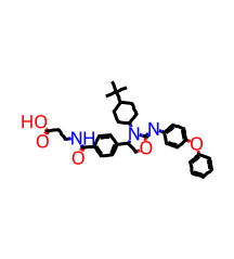 CC(C)(C)C1CCC(N2C(=Nc3ccc(Oc4ccccc4)cc3)OCC2c2ccc(C(=O)NCCC(=O)O)cc2)CC1